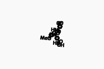 COc1ccc(C[C@H](NC(=O)c2ccc3c(c2)OCO3)C(=O)Nc2ccc(C(=O)NO)cc2)cc1